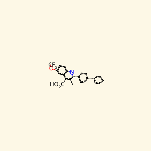 Cc1c(-c2ccc(-c3ccccc3)cc2)nc2ccc(OC(F)(F)F)cc2c1C(=O)O